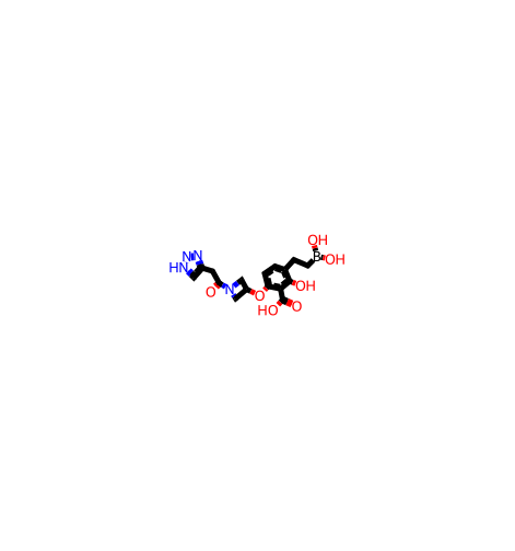 O=C(O)c1c(OC2CN(C(=O)Cc3c[nH]nn3)C2)ccc(CCB(O)O)c1O